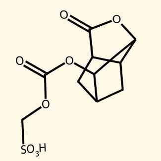 O=C(OCS(=O)(=O)O)OC1C2CC3C(=O)OC1C3C2